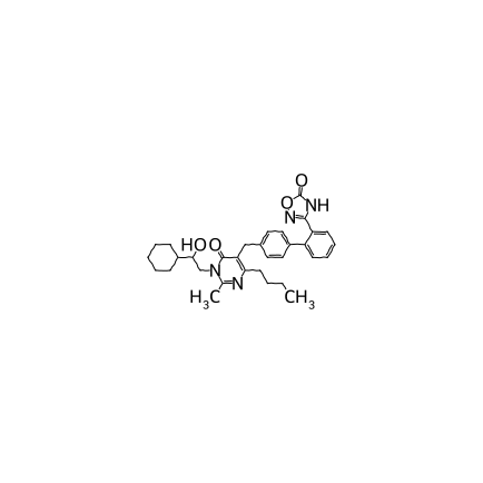 CCCCc1nc(C)n(CC(O)C2CCCCC2)c(=O)c1Cc1ccc(-c2ccccc2-c2noc(=O)[nH]2)cc1